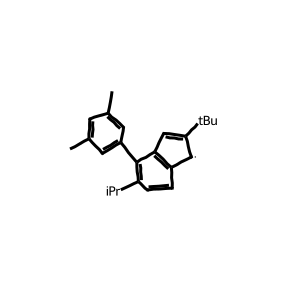 Cc1cc(C)cc(-c2c(C(C)C)ccc3c2C=C(C(C)(C)C)[CH]3)c1